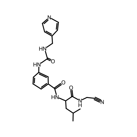 CC(C)CC(NC(=O)c1cccc(NC(=O)NCc2ccncc2)c1)C(=O)NCC#N